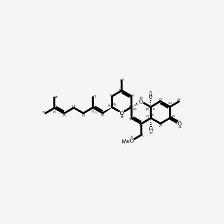 COCC1=C[C@@]2(C=C(C)C[C@H](/C=C(\C)CCC=C(C)C)O2)O[C@H]2C=C(C)C(=O)C[C@@H]12